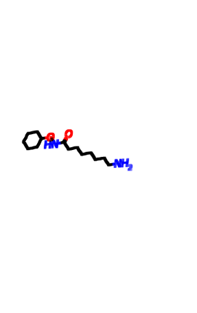 NCCCCCCCC(=O)NOC1CCCCC1